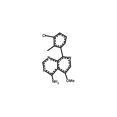 COc1cnc(-c2cccc(Cl)c2C)c2ncnc(N)c12